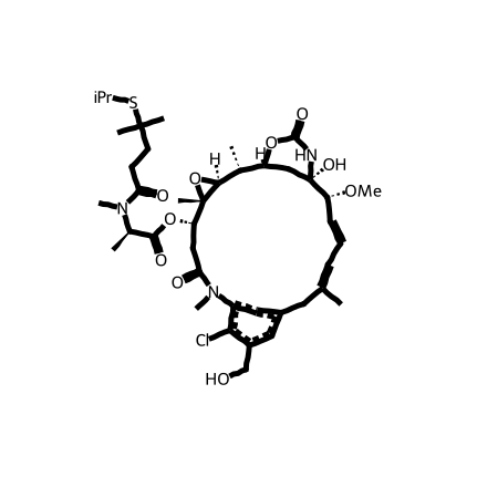 CO[C@@H]1/C=C/C=C(\C)Cc2cc(CO)c(Cl)c(c2)N(C)C(=O)C[C@H](OC(=O)[C@@H](C)N(C)C(=O)CCC(C)(C)SC(C)C)[C@]2(C)O[C@H]2[C@H](C)[C@@H]2C[C@@]1(O)NC(=O)O2